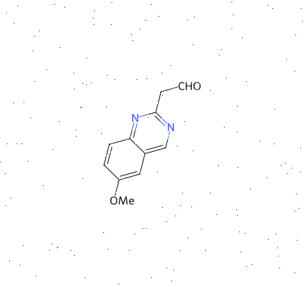 COc1ccc2nc(CC=O)ncc2c1